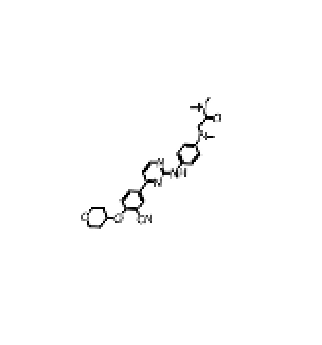 CN(C)C(=O)CN(C)c1ccc(Nc2nccc(-c3ccc(OC4CCOCC4)c(C#N)c3)n2)cc1